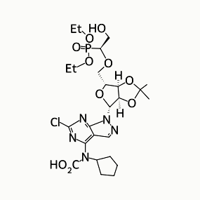 CCOP(=O)(OCC)[C@@H](CO)OC[C@H]1O[C@@H](n2ncc3c(N(C(=O)O)C4CCCC4)nc(Cl)nc32)[C@@H]2OC(C)(C)O[C@@H]21